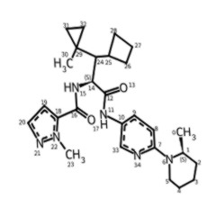 C[C@H]1CCCCN1c1ccc(NC(=O)[C@@H](NC(=O)c2ccnn2C)C(C2CCC2)C2(C)CC2)cn1